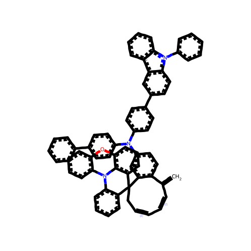 C=C1/C=C\C=C/CC2(c3cc(N(c4ccc(-c5ccccc5)cc4)c4ccc(-c5ccc6c(c5)c5ccccc5n6-c5ccccc5)cc4)ccc31)c1ccccc1N1c3ccccc3Oc3cccc2c31